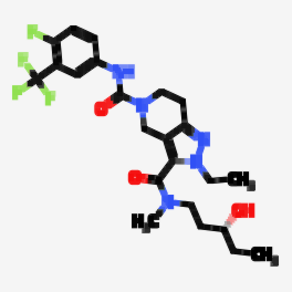 CC[C@@H](O)CCN(C)C(=O)c1c2c(nn1CC)CCN(C(=O)Nc1ccc(F)c(C(F)(F)F)c1)C2